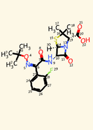 CC(C)(C)O/N=C(\C(=O)N[C@H]1C(=O)N2[C@@H]1SC(C)(C)[C@@H]2C(=O)O)c1ccccc1F